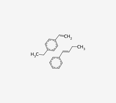 C=Cc1ccc(CC)cc1.CCC=Cc1ccccc1